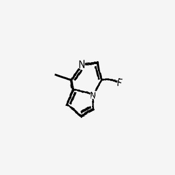 Cc1ncc(F)n2cccc12